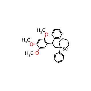 COc1cc(OC)c(C(CC2(c3ccccc3)CCCC[Se]2)c2ccccc2)cc1OC